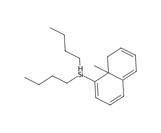 CCCC[SiH](CCCC)C1=CC=CC2=CC=CCC21C